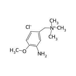 COc1ccc(C[N+](C)(C)C)cc1N.[Cl-]